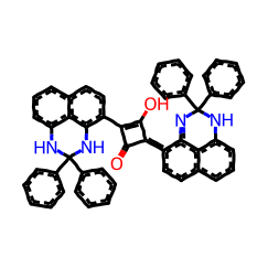 O=C1C(c2ccc3cccc4c3c2NC(c2ccccc2)(c2ccccc2)N4)=C(O)/C1=c1/ccc2cccc3c2c1=NC(c1ccccc1)(c1ccccc1)N3